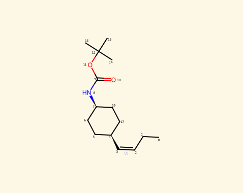 CC/C=C\[C@H]1CC[C@@H](NC(=O)OC(C)(C)C)CC1